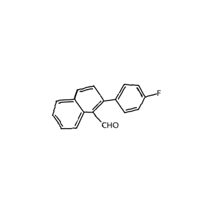 O=Cc1c(-c2ccc(F)cc2)ccc2ccccc12